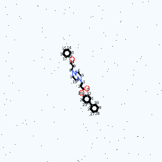 O=C(C=CN1CCN(CCCOc2ccccc2)CC1)Oc1ccc(-c2ccccc2)cc1